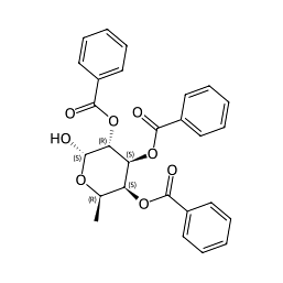 C[C@H]1O[C@H](O)[C@H](OC(=O)c2ccccc2)[C@@H](OC(=O)c2ccccc2)[C@H]1OC(=O)c1ccccc1